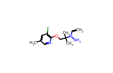 C=CN(N)C(C)(C)COc1ncc(C)cc1F